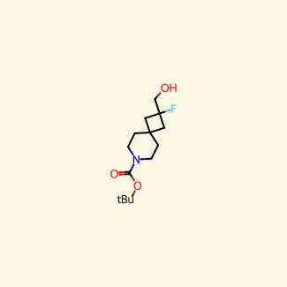 CC(C)(C)OC(=O)N1CCC2(CC1)CC(F)(CO)C2